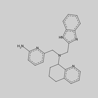 Nc1cccc(CN(Cc2nc3ccccc3[nH]2)C2CCCc3cccnc32)n1